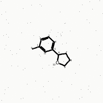 Cc1cccc(C2CCCO2)c1